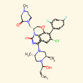 C=CC(O)N1C[C@H](C)N(c2nc(=O)n3c4c(c(-c5ccc(F)cc5F)c(Cl)cc24)OC[C@H]3CN2CCN(C)CC2=O)C[C@H]1C